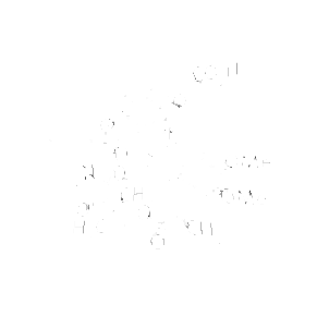 C=CC(=O)OCC(C)(C)C(=O)C(=O)N1CCCCC1C(=O)O[C@H](CCc1ccc(OC)c(OC)c1)c1cccc(OCC(=O)O)c1F